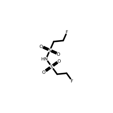 O=S(=O)(CCF)NS(=O)(=O)CCF